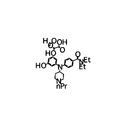 CCCN1CCC(N(c2ccc(C(=O)N(CC)CC)cc2)c2cccc(O)c2)CC1.O.O=C(O)C(=O)O